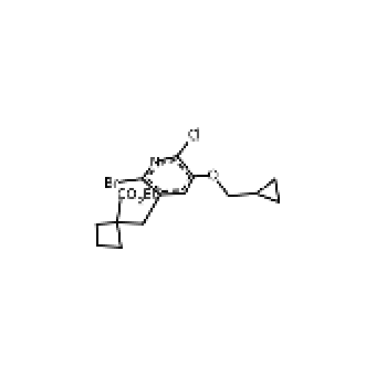 CCOC(=O)C1(Cc2cc(OCC3CC3)c(Cl)nc2Br)CCC1